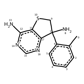 Cc1ccccc1C1(N)CSc2c(N)ncnc21